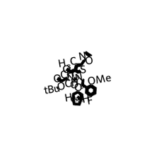 COc1ccc(F)cc1C(Cn1c(=O)n(C(C)(C)C(=O)OC(C)(C)C)c(=O)c2c(C)c(-c3ncco3)sc21)OC1C[C@H]2CC[C@@H](C1)O2